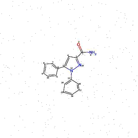 NC(=O)c1cc(-c2ccccc2)n(-c2ccccc2)n1